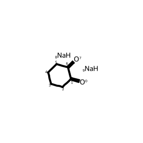 O=C1CCCCC1=O.[NaH].[NaH]